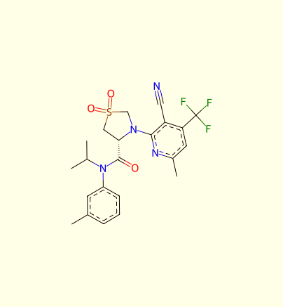 Cc1cccc(N(C(=O)[C@@H]2CS(=O)(=O)CN2c2nc(C)cc(C(F)(F)F)c2C#N)C(C)C)c1